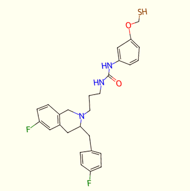 O=C(NCCCN1Cc2ccc(F)cc2CC1Cc1ccc(F)cc1)Nc1cccc(OCS)c1